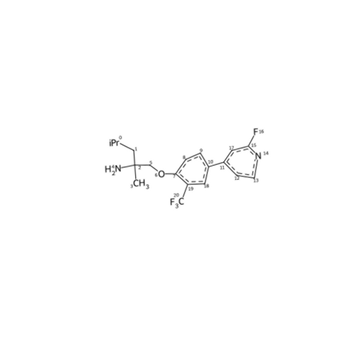 CC(C)CC(C)(N)COc1ccc(-c2ccnc(F)c2)cc1C(F)(F)F